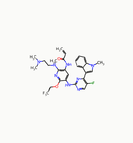 C=CC(=O)Nc1cc(Nc2ncc(F)c(-c3cn(C)c4ccccc34)n2)c(OCC(F)(F)F)nc1N(C)CCN(C)C